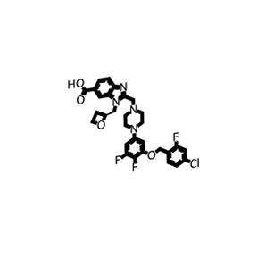 O=C(O)c1ccc2nc(CN3CCN(c4cc(F)c(F)c(OCc5ccc(Cl)cc5F)c4)CC3)n(C[C@@H]3CCO3)c2c1